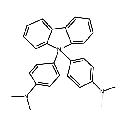 CN(C)c1ccc([N+]2(c3ccc(N(C)C)cc3)c3ccccc3-c3ccccc32)cc1